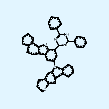 c1ccc(C2=NC(c3cc(-n4c5ccccc5c5cc6ccccc6cc54)cc4c3oc3c5ccccc5ccc43)NC(c3ccccc3)N2)cc1